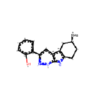 CN[C@H]1CCc2[nH]c3nnc(-c4ccccc4O)cc3c2C1